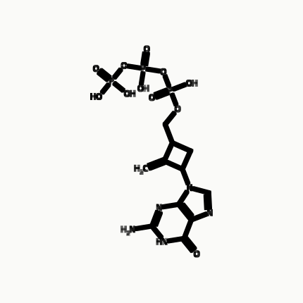 C=C1C(COP(=O)(O)OP(=O)(O)OP(=O)(O)O)CC1n1cnc2c(=O)[nH]c(N)nc21